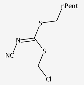 CCCCCCSC(=NC#N)SCCl